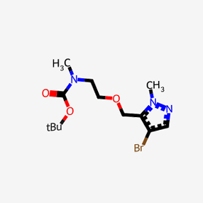 CN(CCOCc1c(Br)cnn1C)C(=O)OC(C)(C)C